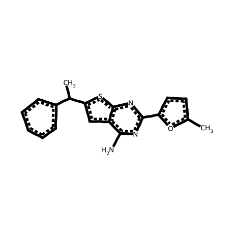 Cc1ccc(-c2nc(N)c3cc(C(C)c4ccccc4)sc3n2)o1